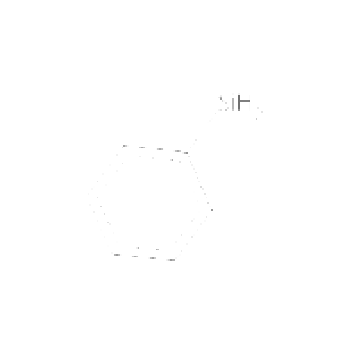 [SiH2]c1ccccc1